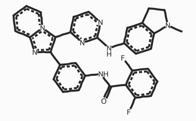 CN1CCc2cc(Nc3nccc(-c4c(-c5cccc(NC(=O)c6c(F)cccc6F)c5)nc5ccccn45)n3)ccc21